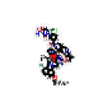 COCOc1cc(-c2ncc3c(N4CC5CCC(C4)N5C(=O)OC(C)(C)C)nc(OCC4(CN5CCC6(CC5)CCN(C(=O)c5ccc(Cl)c(N7CCC(=O)NC7=O)c5)CC6)CC4)nc3c2F)c2c(C#C[Si](C(C)C)(C(C)C)C(C)C)c(F)ccc2c1